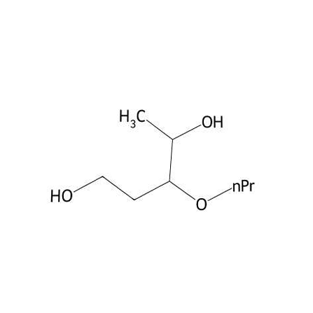 CCCOC(CCO)C(C)O